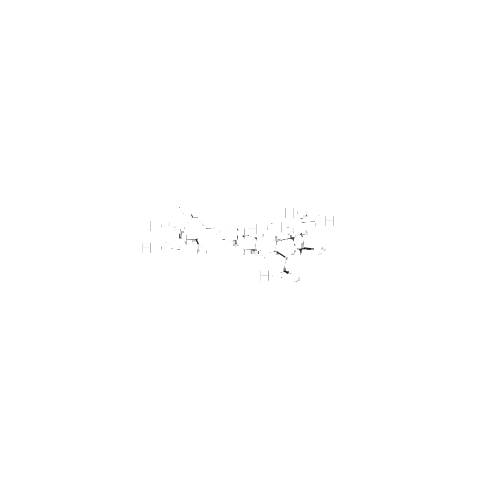 CCN(OC)C(=O)C(COC)SC[C@@H]1C[C@H](SC2=C(C(=O)O)N3C(=O)[C@@H](C(C)O)[C@H]3[C@H]2C)CN1